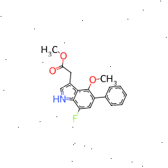 COC(=O)Cc1c[nH]c2c(F)cc(-c3ccccc3)c(OC)c12